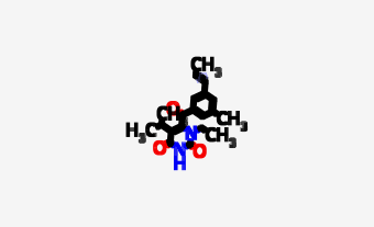 C/C=C/c1cc(C)cc(C(=O)c2c(C(C)C)c(=O)[nH]c(=O)n2CC)c1